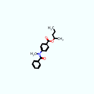 CCCC(C)OC(=O)c1ccc(N(C)C(=O)c2ccccc2)cc1